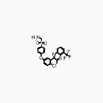 Cc1nc2c(C(F)(F)F)cccc2nc1-c1cc(Oc2ccc(S(=O)(=O)CN)cc2)ccc1Cl